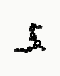 CCCCOCCOc1ccc(-c2ccc3c(c2)/C=C(/c2nc4cc([S@+]([O-])Cc5c(C)ncn5CCC)ccc4[nH]2)CCCN3CCN(C)C)cc1